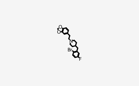 Fc1ccc(Br)c(CC2CCN(CCc3ccc4c(c3)OCO4)CC2)c1